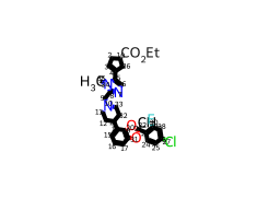 CCOC(=O)C1CC=C(c2cnc(CN3CCC(c4cccc5c4OC(C)(c4ccc(Cl)cc4F)O5)CC3)n2C)C1